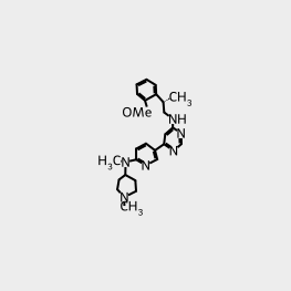 COc1ccccc1[C@H](C)CNc1cc(-c2ccc(N(C)C3CCN(C)CC3)nc2)ncn1